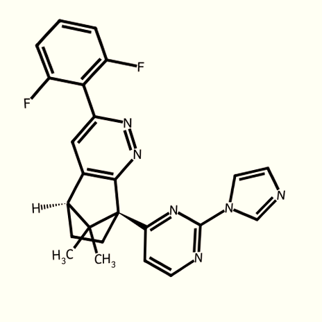 CC1(C)[C@H]2CC[C@@]1(c1ccnc(-n3ccnc3)n1)c1nnc(-c3c(F)cccc3F)cc12